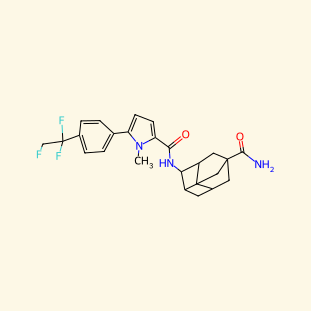 Cn1c(C(=O)NC2C3CC4CC2CC(C(N)=O)(C4)C3)ccc1-c1ccc(C(F)(F)CF)cc1